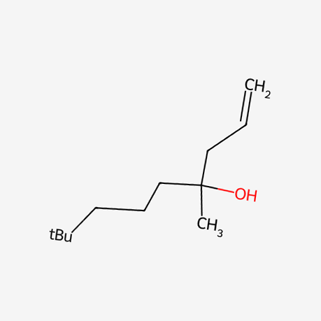 C=CCC(C)(O)CCCC(C)(C)C